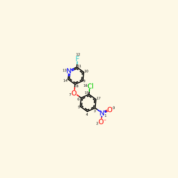 O=[N+]([O-])c1ccc(Oc2ccc(F)nc2)c(Cl)c1